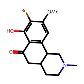 COc1cc2c(c(O)c1Br)C(=O)CC1CCN(C)CC21